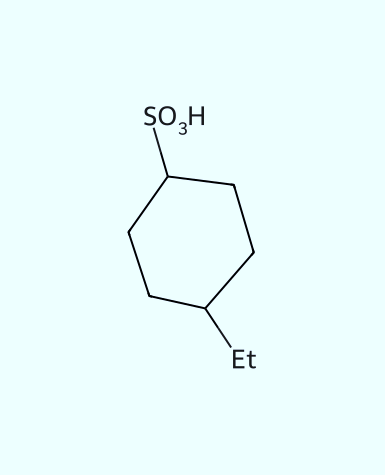 [CH2]CC1CCC(S(=O)(=O)O)CC1